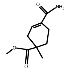 COC(=O)C1(C)CC=C(C(N)=O)CC1